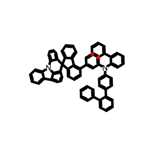 c1ccc(-c2ccccc2-c2ccc(N(c3cccc(-c4cccc5c4-c4ccccc4C54c5ccccc5-n5c6ccccc6c6cccc4c65)c3)c3ccccc3-c3ccccc3)cc2)cc1